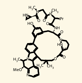 CO[C@@H]1c2ncccc2-c2c3c4cc(ccc4n2C1C)-c1cc(O)cc(c1)C[C@H](NC(=O)C(C(C)C)N(C)C(=O)CN(C)C(=O)[C@H]1CN1)C(=O)N1CCC[C@H](N1)C(=O)OCC(C)(C)C3